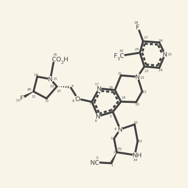 N#CC[C@H]1CN(c2nc(OC[C@@H]3C[C@@H](F)CN3C(=O)O)nc3c2CCN(c2cncc(F)c2C(F)(F)F)C3)CCN1